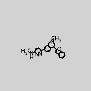 CNc1ccc(-c2ccc3c(c2)CN(C)CC3c2cc3ccccc3o2)nn1